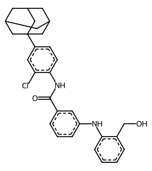 O=C(Nc1ccc(C23CC4CC(CC(C4)C2)C3)cc1Cl)c1cccc(Nc2ccccc2CO)c1